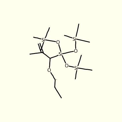 C=C(C)C(O[CH]CC)[Si](O[Si](C)(C)C)(O[Si](C)(C)C)O[Si](C)(C)C